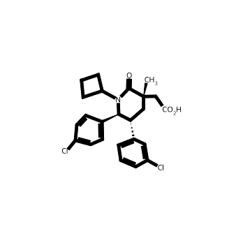 C[C@@]1(CC(=O)O)C[C@H](c2cccc(Cl)c2)[C@@H](c2ccc(Cl)cc2)N(C2CCC2)C1=O